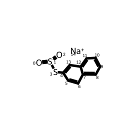 O=[S-](=O)Sc1ccc2ccccc2c1.[Na+]